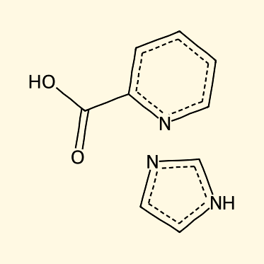 O=C(O)c1ccccn1.c1c[nH]cn1